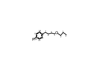 CCCOCCCCc1ccc(F)cc1